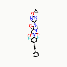 CC12CC(=O)N(c3c(F)cc(C#Cc4ccccc4)cc3F)C(=O)N1CCN(c1cnc(OC3CC3)nc1)C2=O